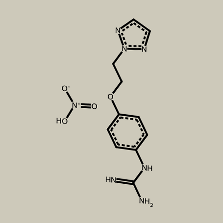 N=C(N)Nc1ccc(OCCn2nccn2)cc1.O=[N+]([O-])O